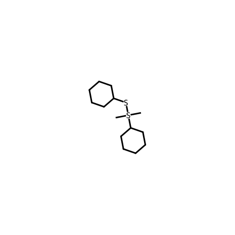 CS(C)(SC1CCCCC1)C1CCCCC1